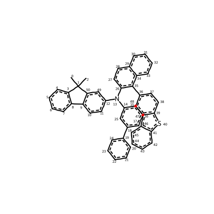 CC1(C)c2ccccc2-c2ccc(N(c3cccc(-c4ccccc4)c3)c3ccc4ccccc4c3-c3ccc4sc5ccccc5c4c3)cc21